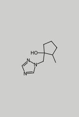 CC1CCCC1(O)Cn1cncn1